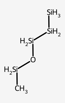 C[SiH2]O[SiH2][SiH2][SiH3]